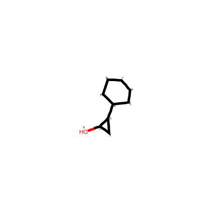 OC1CC1C1CCCCC1